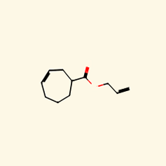 C=CCOC(=O)C1CC=CCCC1